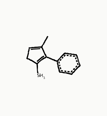 CC1=CCC([SiH3])=C1c1ccccc1